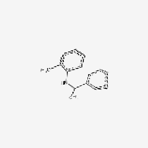 Cc1ccccc1NC(C)c1ccccc1